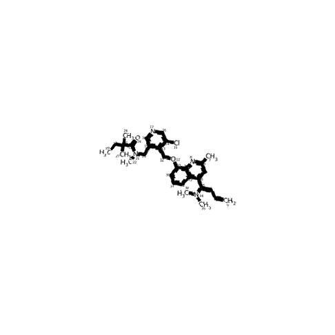 C=C/C=C(/c1cc(C)nc2c(OCc3c(Cl)cncc3CN(C)C(=O)C(C)(C)CC)cccc12)N(C)C